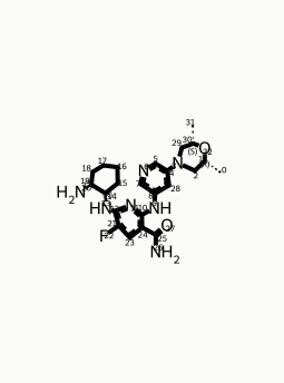 C[C@@H]1CN(c2cncc(Nc3nc(N[C@@H]4CCCC[C@@H]4N)c(F)cc3C(N)=O)c2)C[C@H](C)O1